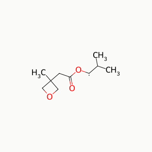 CC(C)[CH]OC(=O)CC1(C)COC1